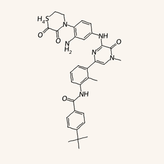 Cc1c(NC(=O)c2ccc(C(C)(C)C)cc2)cccc1-c1cn(C)c(=O)c(Nc2ccc(N3CC[SH4]C(=O)C3=O)c(N)c2)n1